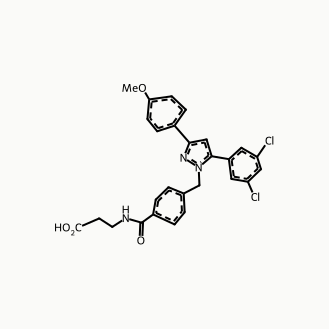 COc1ccc(-c2cc(-c3cc(Cl)cc(Cl)c3)n(Cc3ccc(C(=O)NCCC(=O)O)cc3)n2)cc1